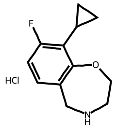 Cl.Fc1ccc2c(c1C1CC1)OCCNC2